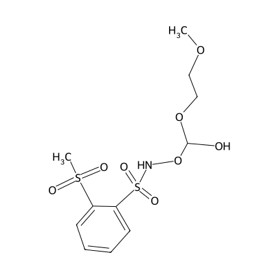 COCCOC(O)ONS(=O)(=O)c1ccccc1S(C)(=O)=O